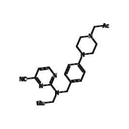 CC(=O)CN1CCN(c2ccc(CN(CC(C)(C)C)c3nccc(C#N)n3)cc2)CC1